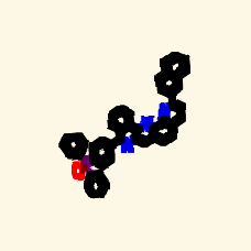 O=P(c1ccccc1)(c1ccccc1)c1ccc(-c2nc3cc4ccc5ccc(-c6ccc7ccccc7c6)nc5c4nc3c3ccccc23)cc1